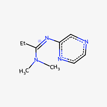 CC/C(=N/c1cnccn1)N(C)C